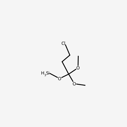 COC(CCCl)(OC)O[SiH3]